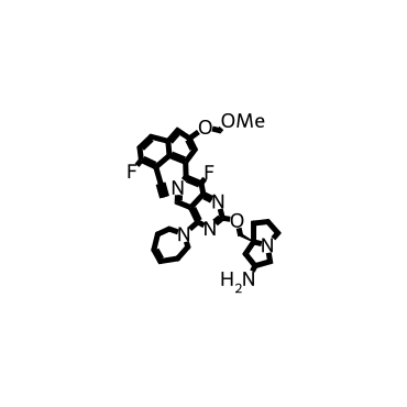 C#Cc1c(F)ccc2cc(OCOC)cc(-c3ncc4c(N5CCC=CCC5)nc(OC[C@@]56CCCN5CC(N)C6)nc4c3F)c12